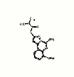 COc1cccc2c1nc(N)n1nc(CC(=O)N(C)C)nc21